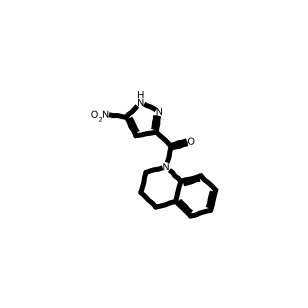 O=C(c1cc([N+](=O)[O-])[nH]n1)N1CCCc2ccccc21